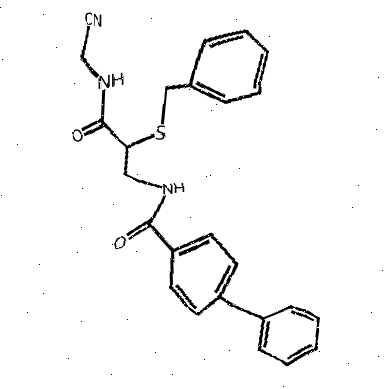 N#CCNC(=O)C(CNC(=O)c1ccc(-c2ccccc2)cc1)SCc1ccccc1